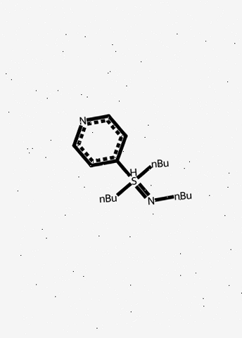 CCCCN=[SH](CCCC)(CCCC)c1ccncc1